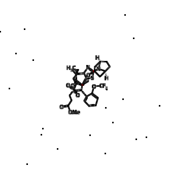 COC(=O)CCS(=O)(=O)c1cc(C)c2nc(N3[C@@H]4CC[C@H]3C[C@@H](OCc3c(-c5ccccc5OC(F)(F)F)noc3C3CC3)C4)sc2c1